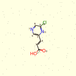 O=C(O)C=Cc1cncc(Cl)n1